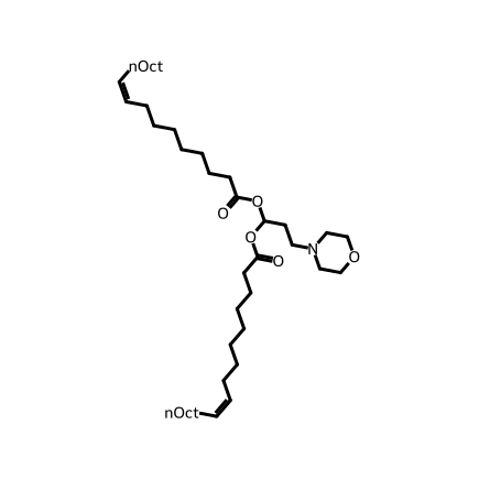 CCCCCCCC/C=C\CCCCCCCC(=O)OC(CCN1CCOCC1)OC(=O)CCCCCCC/C=C\CCCCCCCC